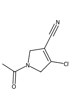 CC(=O)N1CC(Cl)=C(C#N)C1